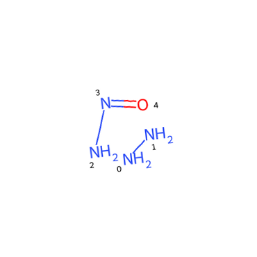 NN.NN=O